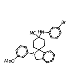 COc1cccc(N2Cc3ccccc3C23CCC(C#N)(Nc2cccc(Br)c2)CC3)c1